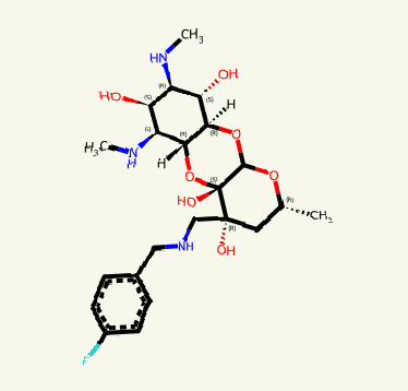 CN[C@@H]1[C@H](O)[C@H](NC)[C@H]2O[C@]3(O)C(O[C@@H]2[C@H]1O)O[C@H](C)C[C@@]3(O)CNCc1ccc(F)cc1